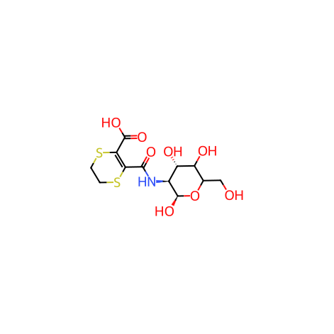 O=C(O)C1=C(C(=O)N[C@@H]2[C@H](O)OC(CO)C(O)[C@H]2O)SCCS1